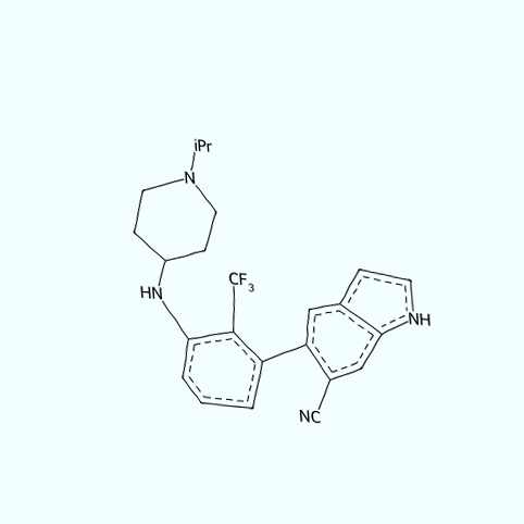 CC(C)N1CCC(Nc2cccc(-c3cc4cc[nH]c4cc3C#N)c2C(F)(F)F)CC1